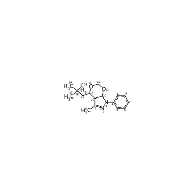 CC1=NN(c2ccccc2)C2OCOC(CC(C)(C)C)C12